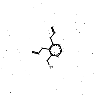 C=CCc1cccc(C[NH])c1CC=C